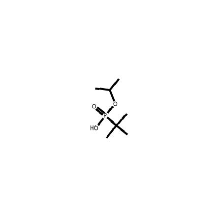 CC(C)OP(=O)(O)C(C)(C)C